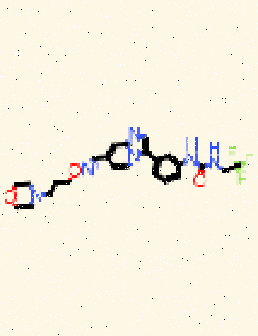 O=C(NCC(F)(F)F)Nc1cccc(-c2cnc3cc(/C=N/OCCCN4CCOCC4)ccn23)c1